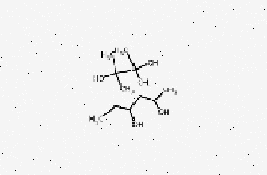 CC(C)(O)C(C)(C)O.CCC(O)CC(C)O